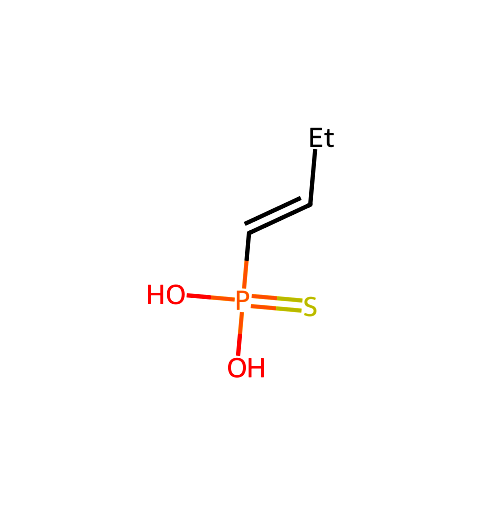 CCC=CP(O)(O)=S